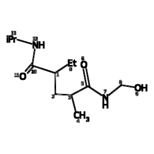 CCC(CC(C)C(=O)NCO)C(=O)NC(C)C